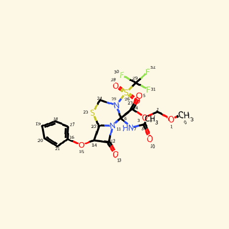 COCOC(=O)C1(NC(C)=O)N2C(=O)C(Oc3ccccc3)C2SCN1S(=O)(=O)C(F)(F)F